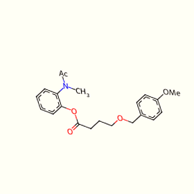 COc1ccc(COCCCC(=O)Oc2ccccc2N(C)C(C)=O)cc1